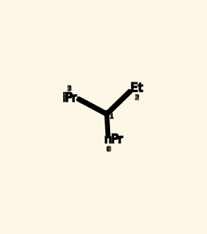 CCC[C](CC)C(C)C